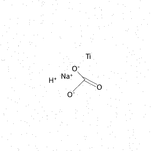 O=C([O-])[O-].[H+].[Na+].[Ti]